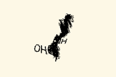 O=CON(c1ccc(Nc2cc(-c3ccc4c(ccn4CCCN4CCCC4)c3)ncn2)cc1)S(=O)(=O)c1ccc(F)cc1F